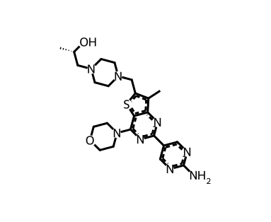 Cc1c(CN2CCN(C[C@H](C)O)CC2)sc2c(N3CCOCC3)nc(-c3cnc(N)nc3)nc12